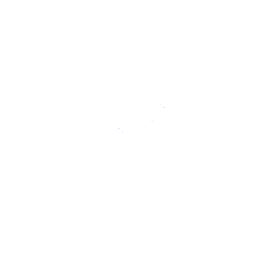 COc1cccc(N(C(=O)Cc2cccs2)C(C(=O)NC2CCCC2)c2ccccc2Cl)c1